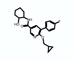 O=C(NC1CCCCC1O)c1cnc(OCC2CC2)c(-c2ccc(F)cc2)c1